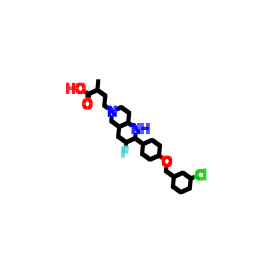 CC(CCN1CCC2NC(C3CCC(OCC4CCCC(Cl)C4)CC3)C(F)CC2C1)C(=O)O